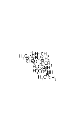 CN(C)NC(=O)NC(C)(N=NC(C)(NC(=O)NN(C)C)C(C)(C)C)C(C)(C)C